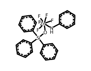 [F][Zn]([F])([F])([F])([F])([NH]c1ccccc1)[O][Si](c1ccccc1)(c1ccccc1)c1ccccc1